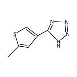 Cc1cc(-c2nnn[nH]2)cs1